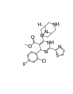 COC(=O)C1=C(CN2C3CNC[C@@H]2COC3)NC(c2nccs2)=NC1c1ccc(F)cc1Cl